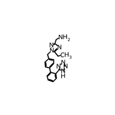 CCc1nc(CN)nn1Cc1ccc(-c2ccccc2-c2nnn[nH]2)cc1